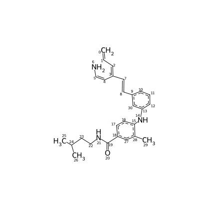 C=C/C=C(\C=C/N)/C=C/c1cccc(Nc2ccc(C(=O)NCCC(C)C)cc2C)c1